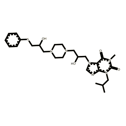 CC(C)Cn1c(=O)n(C)c(=O)c2c1ncn2CC(O)CN1CCN(CC(O)CSc2ccccc2)CC1